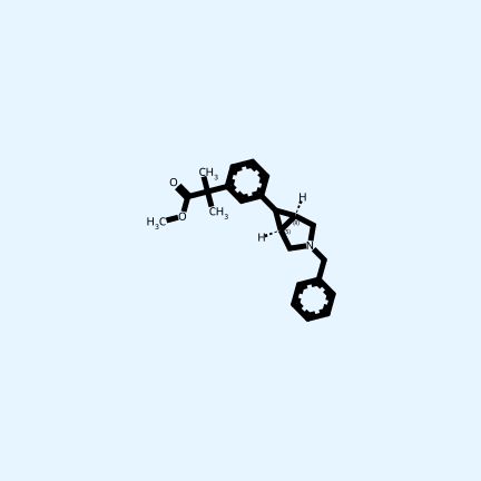 COC(=O)C(C)(C)c1cccc(C2[C@H]3CN(Cc4ccccc4)C[C@@H]23)c1